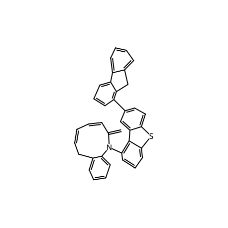 C=C1/C=C\C=C/Cc2ccccc2N1c1cccc2sc3ccc(-c4cccc5c4Cc4ccccc4-5)cc3c12